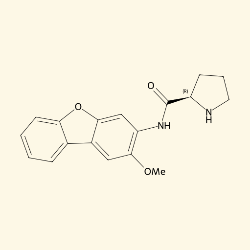 COc1cc2c(cc1NC(=O)[C@H]1CCCN1)oc1ccccc12